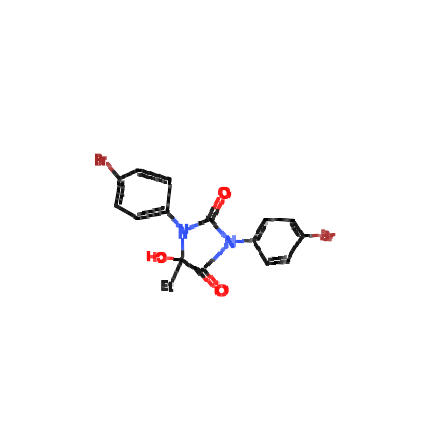 CCC1(O)C(=O)N(c2ccc(Br)cc2)C(=O)N1c1ccc(Br)cc1